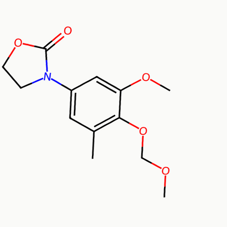 COCOc1c(C)cc(N2CCOC2=O)cc1OC